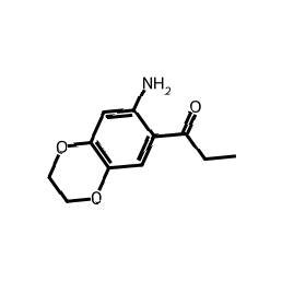 CCC(=O)c1cc2c(cc1N)OCCO2